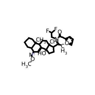 CO/N=C1\C=C2C(CCC3(C)C(C(C)N(CC(F)F)C(=O)c4ccco4)CC[C@@]23O)C2(C)CCCCC12